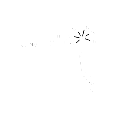 N#[C][Fe-4]([C]#N)([C]#N)([C]#N)([C]#N)[C]#N.O.O.O.O.O.O.O.O.O.O.[Na+].[Na+].[Na+].[Na+]